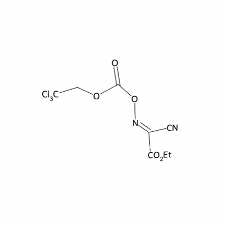 CCOC(=O)C(C#N)=NOC(=O)OCC(Cl)(Cl)Cl